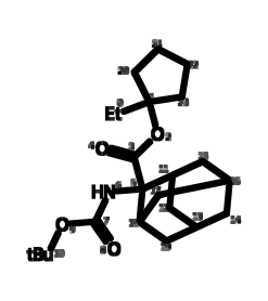 CCC1(OC(=O)C2(NC(=O)OC(C)(C)C)C3CC4CC(C3)CC2C4)CCCC1